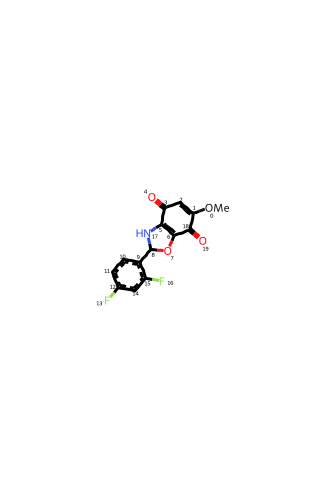 COC1=CC(=O)C2=C(OC(c3ccc(F)cc3F)N2)C1=O